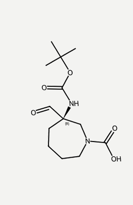 CC(C)(C)OC(=O)N[C@]1(C=O)CCCCN(C(=O)O)C1